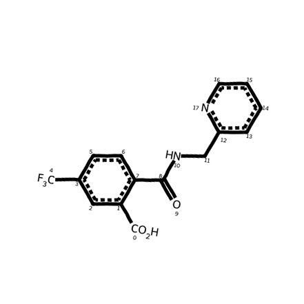 O=C(O)c1cc(C(F)(F)F)ccc1C(=O)NCc1ccccn1